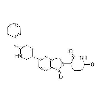 O=C1CCC(N2Cc3cc(C4CCC(Cc5ccccc5)NC4)ccc3C2=O)C(=O)N1